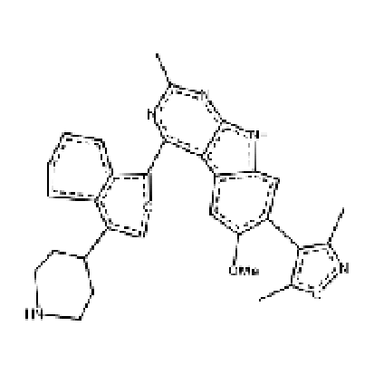 COc1cc2c(cc1-c1c(C)noc1C)[nH]c1nc(C)nc(-c3ccc(C4CCNCC4)c4ccccc34)c12